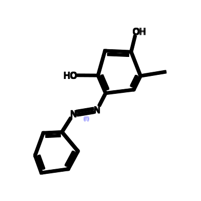 Cc1cc(/N=N/c2ccccc2)c(O)cc1O